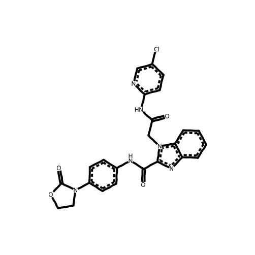 O=C(Cn1c(C(=O)Nc2ccc(N3CCOC3=O)cc2)nc2ccccc21)Nc1ccc(Cl)cn1